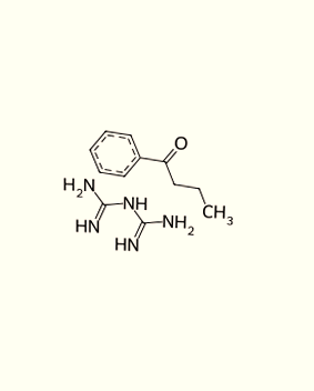 CCCC(=O)c1ccccc1.N=C(N)NC(=N)N